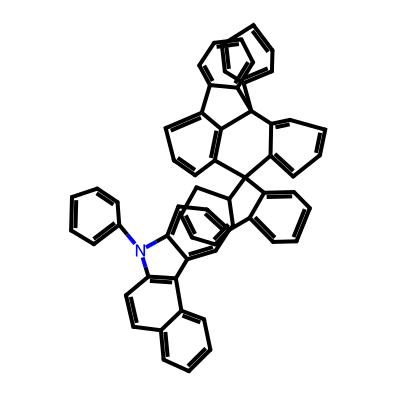 C1=CCC(C2(c3ccccc3-c3ccc4c(c3)c3c5ccccc5ccc3n4-c3ccccc3)c3ccccc3C3(c4ccccc4)c4ccccc4-c4cccc2c43)C=C1